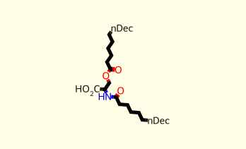 CCCCCCCCCCCCCCCC(=O)NC(COC(=O)CCCCCCCCCCCCCCC)C(=O)O